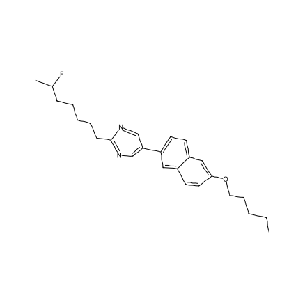 CCCCCOc1ccc2cc(-c3cnc(CCCCCC(C)F)nc3)ccc2c1